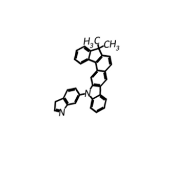 CC1(C)c2ccccc2-c2c1ccc1cc3c4ccccc4n(-c4ccc5c(c4)N=CC5)c3cc21